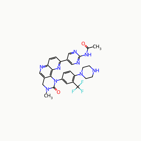 CC(=O)Nc1ncc(-c2ccc3ncc4c(c3n2)N(c2ccc(N3CCNCC3)c(C(F)(F)F)c2)C(=O)N(C)C4)cn1